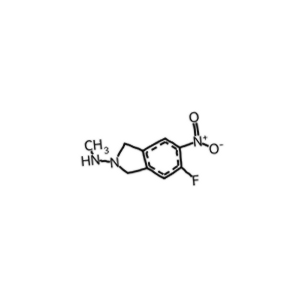 CNN1Cc2cc(F)c([N+](=O)[O-])cc2C1